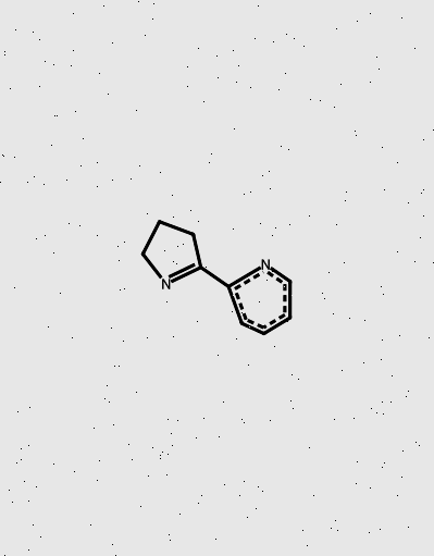 c1ccc(C2=NCCC2)nc1